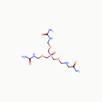 NC(=O)CNCOCP(=O)(COCNC(N)=O)COCNC(N)=O